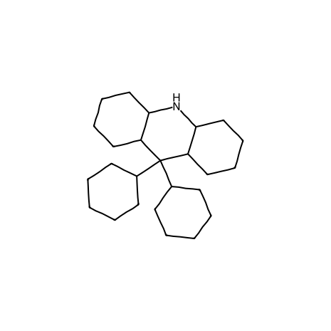 C1CCC(C2(C3CCCCC3)C3CCCCC3NC3CCCCC32)CC1